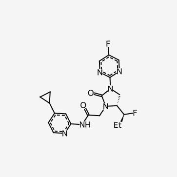 CC[C@H](F)[C@H]1CN(c2ncc(F)cn2)C(=O)N1CC(=O)Nc1cc(C2CC2)ccn1